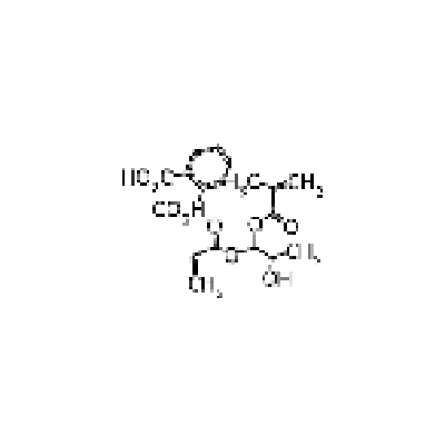 C=CC(=O)OC(OC(=O)C(=C)C)C(C)O.O=C(O)c1ccccc1C(=O)O